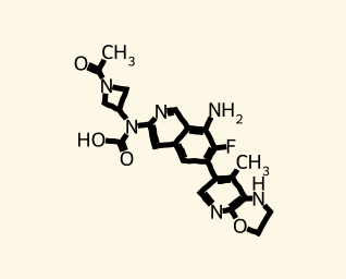 CC(=O)N1CC(N(C(=O)O)c2cc3cc(-c4cnc5c(c4C)NCCO5)c(F)c(N)c3cn2)C1